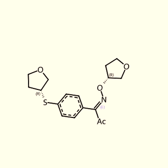 CC(=O)/C(=N/O[C@@H]1CCOC1)c1ccc(S[C@@H]2CCOC2)cc1